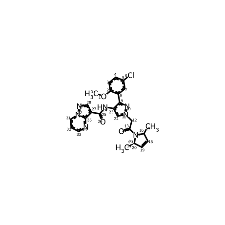 COc1ccc(Cl)cc1-c1nn(CC(=O)N2C(C)C=C[C@H]2C)cc1NC(=O)c1cnn2cccnc12